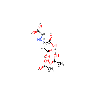 CC(=O)O.CC(=O)O.O=C(O)CN[C@@H](CC(=O)O)C(=O)O